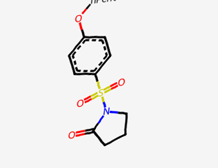 CCCCCOc1ccc(S(=O)(=O)N2CCCC2=O)cc1